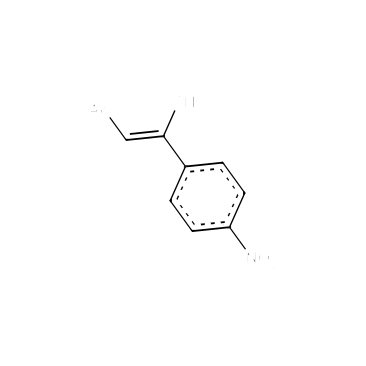 CC(=O)C=C(C)c1ccc([N+](=O)[O-])cc1